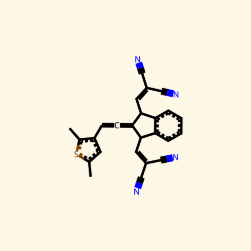 Cc1cc(C=C=C2C(C=C(C#N)C#N)c3ccccc3C2C=C(C#N)C#N)c(C)s1